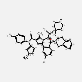 Cc1c(C(=O)N(c2ccc(O)cc2)c2cnn(C)c2)cc(-c2cc(F)ccc2C(=O)N2Cc3ccccc3C[C@H]2CN2CCOCC2)n1C(F)C(F)F